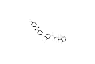 O=C(NC(=O)c1c(F)cccc1Cl)Nc1ccc(Oc2ccc(S(=O)(=O)c3ccc(Cl)cc3)cc2)c(C(F)(F)F)c1